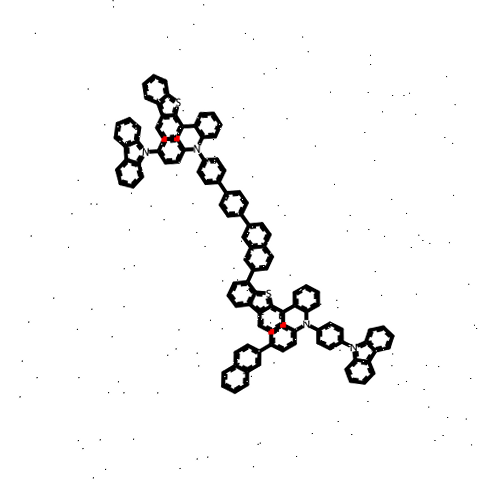 c1ccc(N(c2ccc(-c3ccc(-c4ccc5ccc(-c6cccc7c6sc6c(-c8ccccc8N(c8ccc(-c9ccc%10ccccc%10c9)cc8)c8ccc(-n9c%10ccccc%10c%10ccccc%109)cc8)cccc67)cc5c4)cc3)cc2)c2ccc(-n3c4ccccc4c4ccccc43)cc2)c(-c2cccc3c2sc2ccccc23)c1